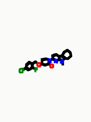 Cn1c2c(c3ccc(-n4ccc(OCc5ccc(Cl)cc5F)cc4=O)nc31)CCCCC2